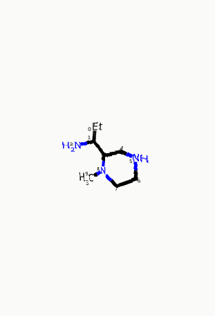 CCC(N)C1CNCCN1C